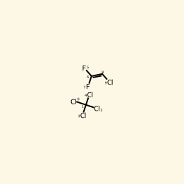 ClC(Cl)(Cl)Cl.FC(F)=CCl